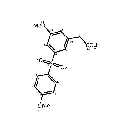 COc1ccc(S(=O)(=O)c2cc(CC(=O)O)cc(OC)c2)cc1